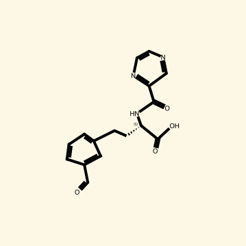 O=Cc1cccc(CC[C@H](NC(=O)c2cnccn2)C(=O)O)c1